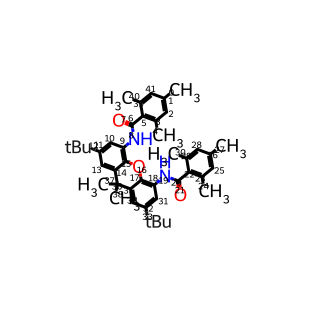 Cc1cc(C)c(C(=O)Nc2cc(C(C)(C)C)cc3c2Oc2c(NC(=O)c4c(C)cc(C)cc4C)cc(C(C)(C)C)cc2C3(C)C)c(C)c1